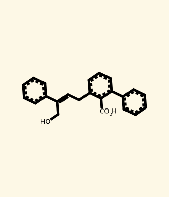 O=C(O)c1c(C/C=C(\CO)c2ccccc2)cccc1-c1ccccc1